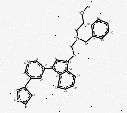 COCCN(CCn1cc(-c2cncc(-c3ccsc3)c2)c2ccccc21)Cc1ccccc1